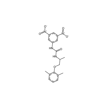 Cc1cccc(C)c1OCC(C)NC(=O)Nc1cc([N+](=O)[O-])cc([N+](=O)[O-])c1